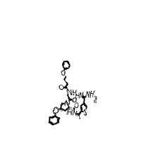 C[C@@H](NC(=O)[C@@H]1C[C@@H](Oc2ccccc2)CN1C(=O)CNC(=O)CCCOc1ccccc1)c1cc(C(=N)N)cs1